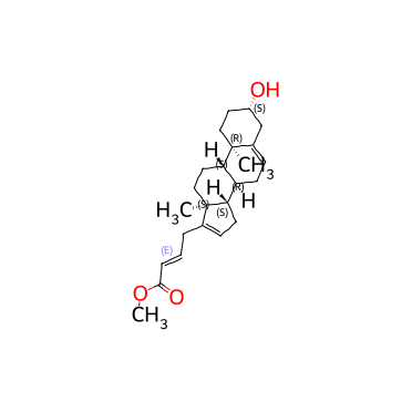 COC(=O)/C=C/CC1=CC[C@H]2[C@@H]3CC=C4C[C@@H](O)CC[C@]4(C)[C@H]3CC[C@]12C